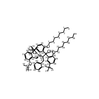 CCCCCCCCOc1ccc(C(C)(C)C)cc1C(O)(c1cc(C(C)(C)C)ccc1OCCCCCCCC)C(Cc1ccccc1)N=Cc1c(O[SiH](C)C)cccc1C(C)(C)C